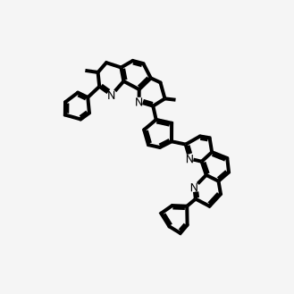 CC1Cc2ccc3c(c2N=C1c1ccccc1)N=C(c1cccc(-c2ccc4ccc5ccc(-c6ccccc6)nc5c4n2)c1)C(C)C3